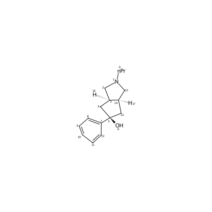 CCCN1C[C@@H]2C[C@@](O)(c3ccccc3)C[C@@H]2C1